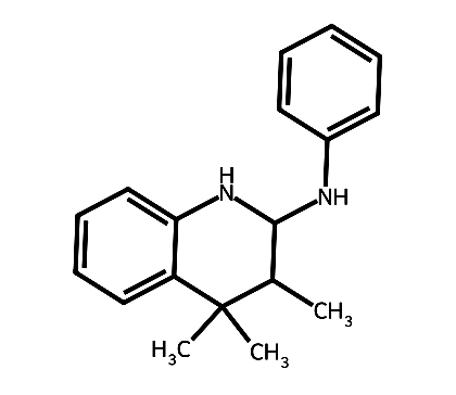 CC1C(Nc2ccccc2)Nc2ccccc2C1(C)C